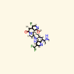 CN/C(C)=C(\C=C1\CC[C@@]2(CCN(C(=O)[C@H](C)c3cc(OC)ncc3F)C2)NC1)c1ccc(C(F)F)cn1